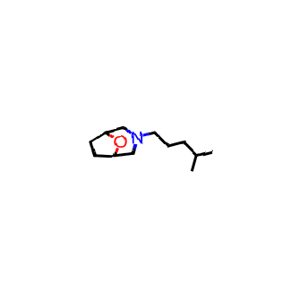 CC(C)CCCN1CC2CCC(C1)O2